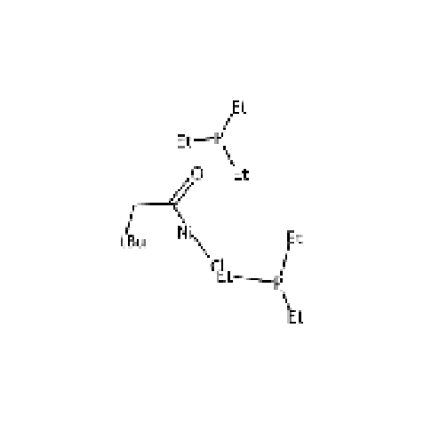 CC(C)(C)C[C](=O)[Ni][Cl].CCP(CC)CC.CCP(CC)CC